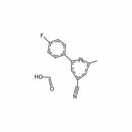 Cc1cc(C#N)cc(-c2ccc(F)cc2)n1.O=CO